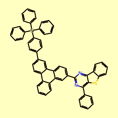 c1ccc(-c2nc(-c3ccc4c5cc(-c6ccc([Si](c7ccccc7)(c7ccccc7)c7ccccc7)cc6)ccc5c5ccccc5c4c3)nc3c2sc2ccccc23)cc1